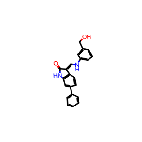 O=C1Nc2cc(-c3ccccc3)ccc2/C1=C\Nc1cccc(CO)c1